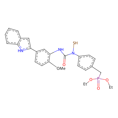 CCOP(=O)(Cc1ccc(N(S)C(=O)Nc2cc(-c3cc4ccccc4[nH]3)ccc2OC)cc1)OCC